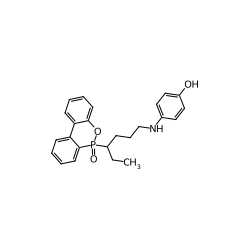 CCC(CCCNc1ccc(O)cc1)P1(=O)Oc2ccccc2-c2ccccc21